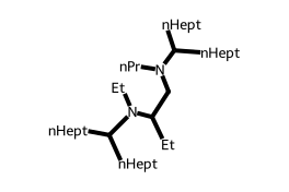 CCCCCCCC(CCCCCCC)N(CCC)CC(CC)N(CC)C(CCCCCCC)CCCCCCC